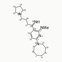 CNc1nc(N2CCCCCCC2)ccc1C(=N)CCCN1CCCC1